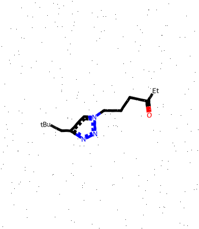 CCC(=O)CCCn1cc(CC(C)(C)C)nn1